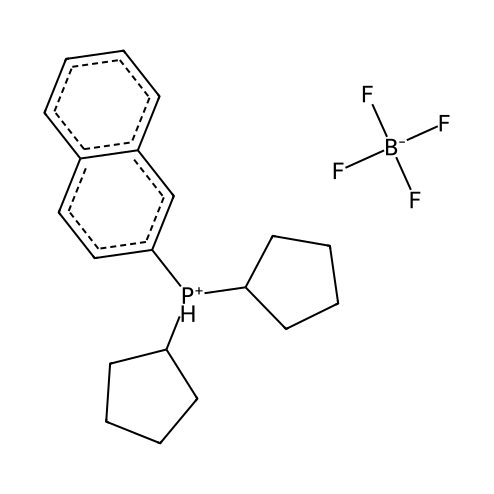 F[B-](F)(F)F.c1ccc2cc([PH+](C3CCCC3)C3CCCC3)ccc2c1